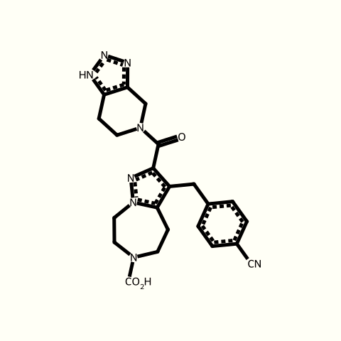 N#Cc1ccc(Cc2c(C(=O)N3CCc4[nH]nnc4C3)nn3c2CCN(C(=O)O)CC3)cc1